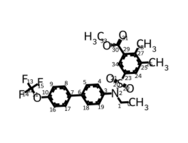 CCN(c1ccc(-c2ccc(OC(F)(F)F)cc2)cc1)S(=O)(=O)c1cc(C)c(C)c(C(=O)OC)c1